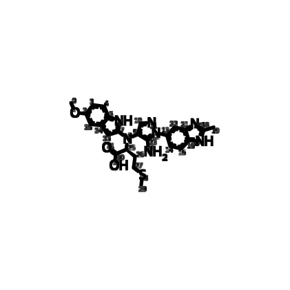 COc1ccc2[nH]c(N(c3cnn(-c4ccc5[nH]c(C)nc5c4)c3N)[C@@H](CCSC)C(=O)O)cc2c1